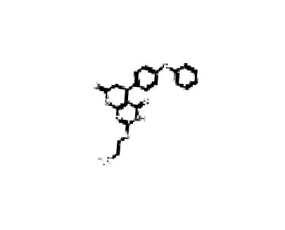 CCCSc1nc2c(c(=O)[nH]1)C(c1ccc(Oc3ccccc3)cc1)CC(=O)N2